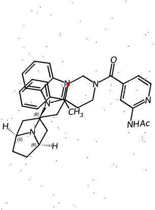 CC(=O)Nc1cc(C(=O)N2CCC(CCN3[C@@H]4CC[C@H]3C[C@@H](n3c(C)nc5ccccc53)C4)(c3ccccc3)CC2)ccn1